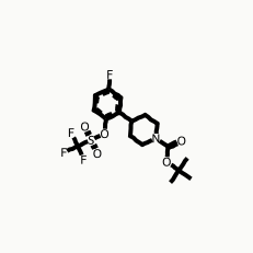 CC(C)(C)OC(=O)N1CCC(c2cc(F)ccc2OS(=O)(=O)C(F)(F)F)CC1